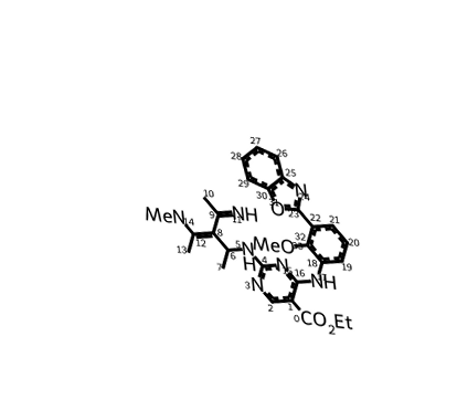 CCOC(=O)c1cnc(NC(C)/C(C(C)=N)=C(\C)NC)nc1Nc1cccc(-c2nc3ccccc3o2)c1OC